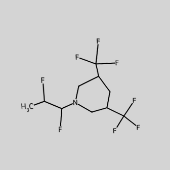 CC(F)C(F)N1CC(C(F)(F)F)CC(C(F)(F)F)C1